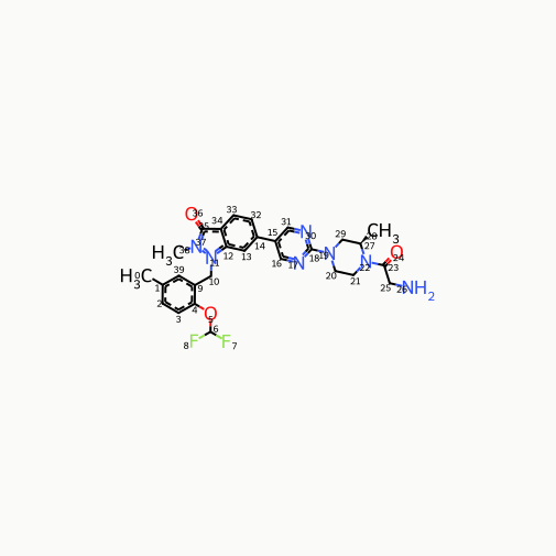 Cc1ccc(OC(F)F)c(Cn2c3cc(-c4cnc(N5CCN(C(=O)CN)[C@H](C)C5)nc4)ccc3c(=O)n2C)c1